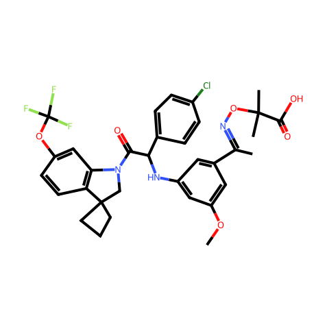 COc1cc(NC(C(=O)N2CC3(CCC3)c3ccc(OC(F)(F)F)cc32)c2ccc(Cl)cc2)cc(C(C)=NOC(C)(C)C(=O)O)c1